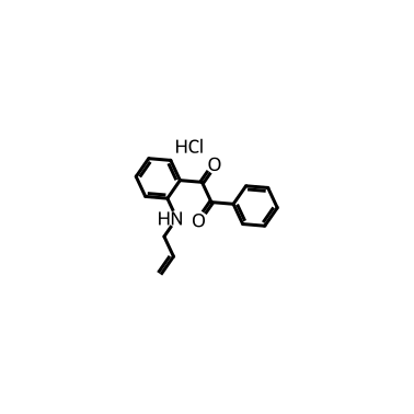 C=CCNc1ccccc1C(=O)C(=O)c1ccccc1.Cl